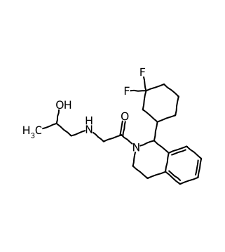 CC(O)CNCC(=O)N1CCc2ccccc2C1C1CCCC(F)(F)C1